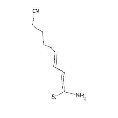 CC/C(N)=C\C=C\CCCC#N